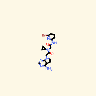 Nc1ncnc2c1ccn2CC(=O)N(CC(=O)Nc1cccc(Br)n1)C1CC1